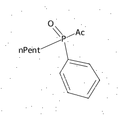 CCCCCP(=O)(C(C)=O)c1ccccc1